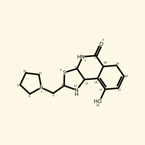 O=C1NC2SC(CN3CCCC3)NC2C2=C(O)C=CCC12